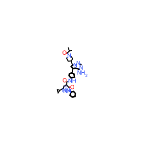 CC(C)C(=O)N1CCC(c2cc(-c3ccc(NC(=O)/C(=C/C(=N)C4CC4)C(=O)Nc4ccccc4)cc3)c3c(N)ncnn23)CC1